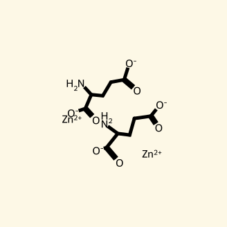 NC(CCC(=O)[O-])C(=O)[O-].NC(CCC(=O)[O-])C(=O)[O-].[Zn+2].[Zn+2]